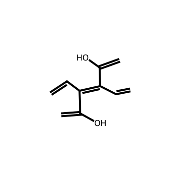 C=C/C(C(=C)O)=C(/C=C)C(=C)O